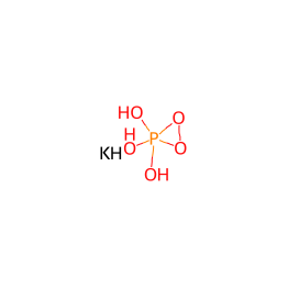 OP1(O)(O)OO1.[KH]